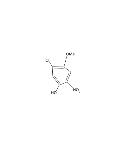 COc1cc([N+](=O)[O-])c(O)cc1Cl